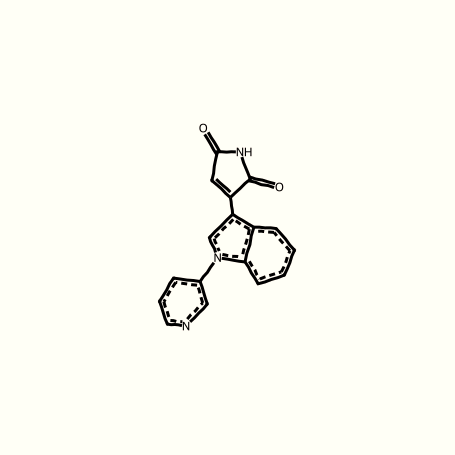 O=C1C=C(c2cn(-c3cccnc3)c3ccccc23)C(=O)N1